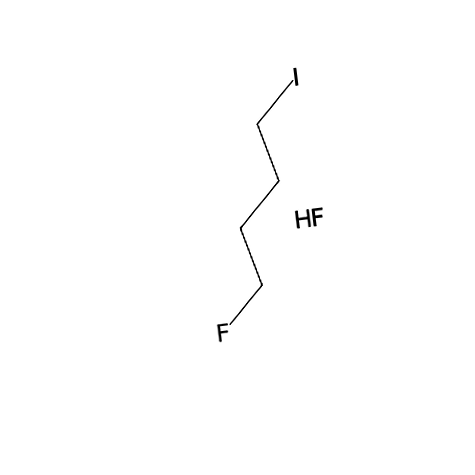 F.FCCCCI